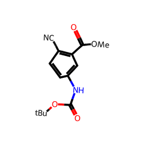 COC(=O)c1cc(NC(=O)OC(C)(C)C)ccc1C#N